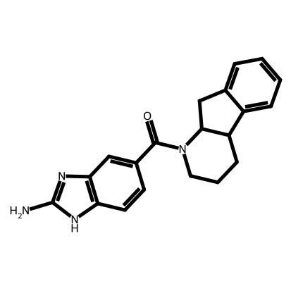 Nc1nc2cc(C(=O)N3CCCC4c5ccccc5CC43)ccc2[nH]1